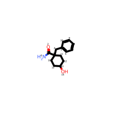 NC(=O)C1(Cc2ccccc2)CCC(O)CC1